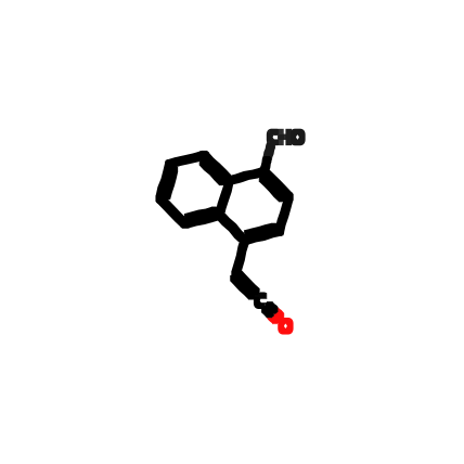 O=C=Cc1ccc(C=O)c2ccccc12